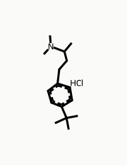 CC(CCc1ccc(C(C)(C)C)cc1)N(C)C.Cl